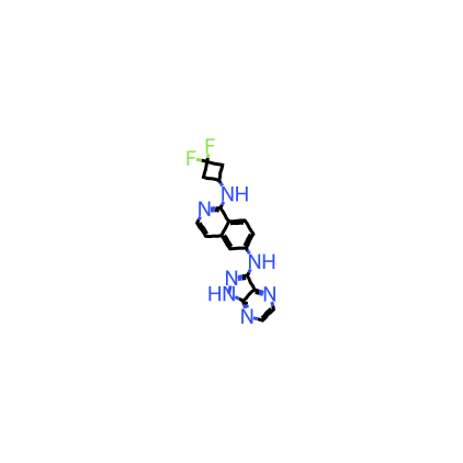 FC1(F)CC(Nc2nccc3cc(Nc4n[nH]c5nccnc45)ccc23)C1